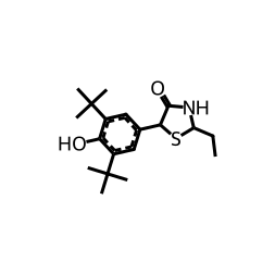 CCC1NC(=O)C(c2cc(C(C)(C)C)c(O)c(C(C)(C)C)c2)S1